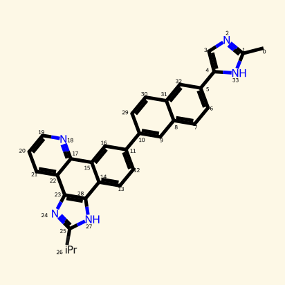 Cc1ncc(-c2ccc3cc(-c4ccc5c(c4)c4ncccc4c4nc(C(C)C)[nH]c54)ccc3c2)[nH]1